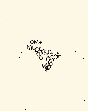 COC[C@H]1CN(c2cc(C)c3c4c(c(=O)oc3c2C)CN(C(=O)c2ccc(C(=O)NS(=O)(=O)C3(C)CC3)c(OC3CCC(F)(F)CC3)c2F)CC4)CCN1C